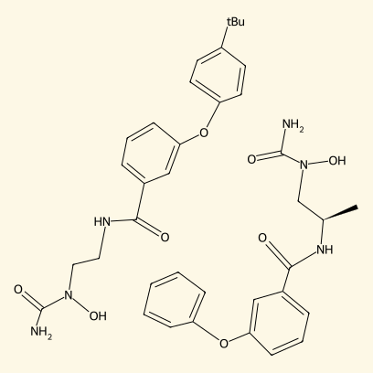 CC(C)(C)c1ccc(Oc2cccc(C(=O)NCCN(O)C(N)=O)c2)cc1.C[C@H](CN(O)C(N)=O)NC(=O)c1cccc(Oc2ccccc2)c1